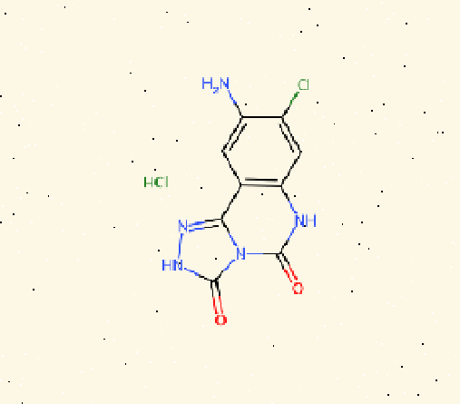 Cl.Nc1cc2c(cc1Cl)[nH]c(=O)n1c(=O)[nH]nc21